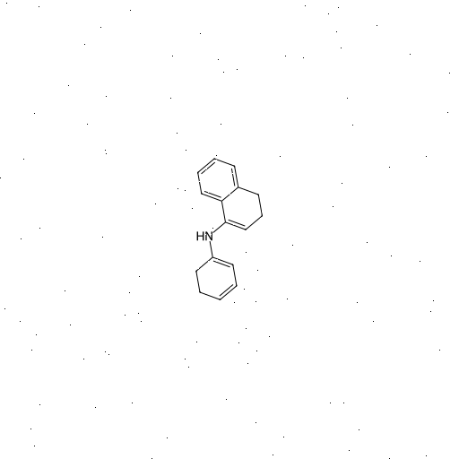 C1=CCCC(NC2=CCCc3ccccc32)=C1